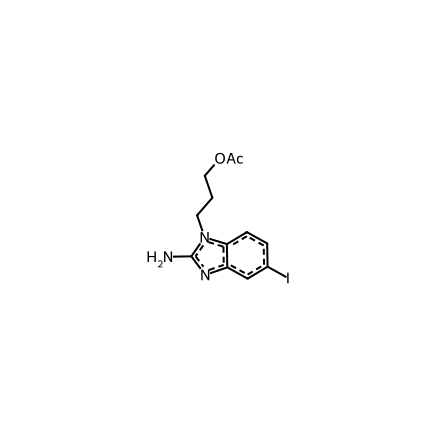 CC(=O)OCCCn1c(N)nc2cc(I)ccc21